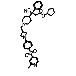 Cc1cc(S(=O)(=O)c2ccc(N3CC(CN4CCC([C@](C#N)(CC(=O)OC5CCCC5)c5ccccc5)CC4)C3)cc2)ccn1